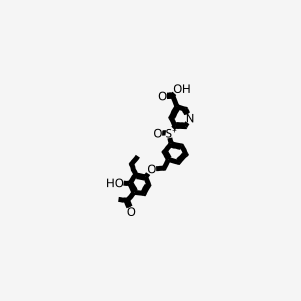 CCc1c(OCc2cccc([S+]([O-])c3cncc(C(=O)O)c3)c2)ccc(C(C)=O)c1O